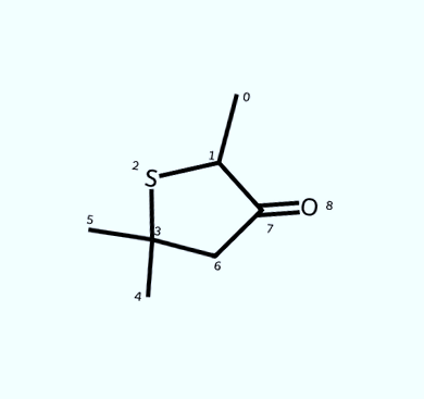 CC1SC(C)(C)CC1=O